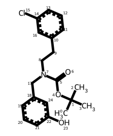 CC(C)(C)OC(=O)N(CCc1cccc(Cl)c1)Cc1cccc(O)c1